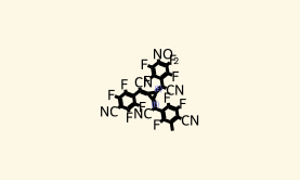 Cc1c(F)c(/C(C#N)=C2/C(=C(C#N)c3c(F)c(F)c(C#N)c(F)c3F)/C2=C(/C#N)c2c(F)c(F)c([N+](=O)[O-])c(F)c2F)c(F)c(F)c1C#N